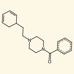 O=C(c1ccccc1)N1CCN(CCC2C=CC=CC2)CC1